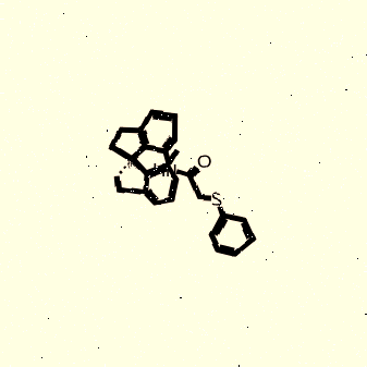 Cc1cccc2c1[C@@]1(CC2)CCc2cccc(NC(=O)CSc3ccccc3)c21